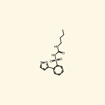 CCCCNC(=O)NS(=O)(=O)c1ccccc1-c1ccno1